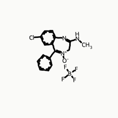 CNC1=Nc2ccc(Cl)cc2C(c2ccccc2)=[N+]([O-])C1.F[B-](F)(F)F